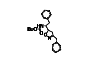 CC(C)COC(=O)NC(Cc1ccccc1)C1CC(Cc2ccccc2)=NO1